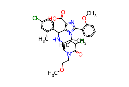 COCCN1C=C(NC(c2ccc(Cl)cc2C)c2c(C(=O)O)nc(-c3ccccc3OC)n2C(C)C)CC(Cl)C1=O